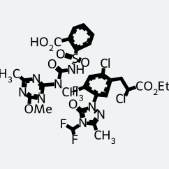 CCOC(=O)C(Cl)Cc1cc(-n2nc(C)n(C(F)F)c2=O)c(F)cc1Cl.COc1nc(C)nc(N(C)C(=O)NS(=O)(=O)c2ccccc2C(=O)O)n1